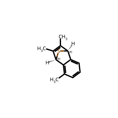 CC1=C(C)[C@@H]2S[C@H]1c1c(C)cccc12